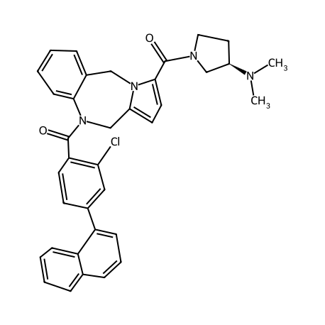 CN(C)[C@@H]1CCN(C(=O)c2ccc3n2Cc2ccccc2N(C(=O)c2ccc(-c4cccc5ccccc45)cc2Cl)C3)C1